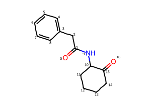 O=C(Cc1ccccc1)NC1CCCCC1=O